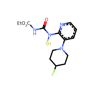 CCOC(=O)NC(=O)N(S)c1ncccc1N1CCC(F)CC1